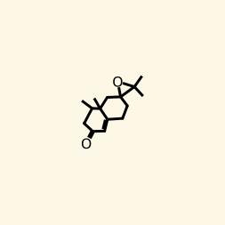 CC1CC(=O)C=C2CCC3(CC21C)OC3(C)C